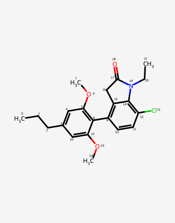 CCCc1cc(OC)c(-c2ccc(Cl)c3c2CC(=O)N3CC)c(OC)c1